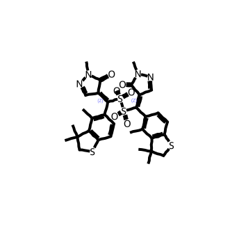 Cc1c(/C(=C2\C=NN(C)C2=O)S(=O)(=O)S(=O)(=O)/C(=C2/C=NN(C)C2=O)c2ccc3c(c2C)C(C)(C)CS3)ccc2c1C(C)(C)CS2